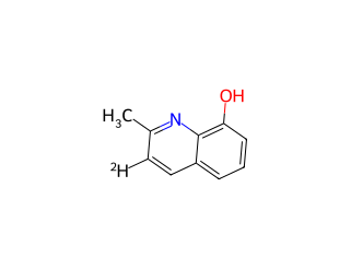 [2H]c1cc2cccc(O)c2nc1C